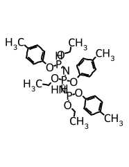 CCOP(N[PH](/N=[PH](/OCC)Oc1ccc(C)cc1)(OCC)Oc1ccc(C)cc1)Oc1ccc(C)cc1